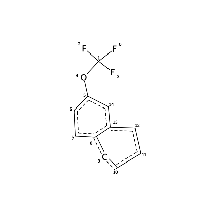 FC(F)(F)Oc1c[c]c2ccccc2c1